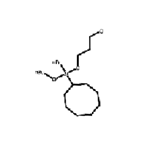 CCCCO[Si](CCC)(OCCCCl)C1CCCCCCC1